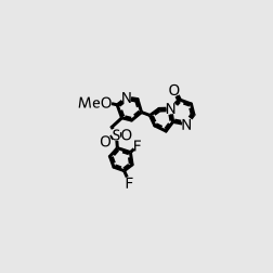 COc1ncc(-c2ccc3nccc(=O)n3c2)cc1CS(=O)(=O)c1ccc(F)cc1F